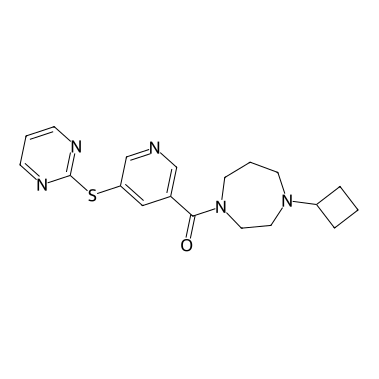 O=C(c1cncc(Sc2ncccn2)c1)N1CCCN(C2CCC2)CC1